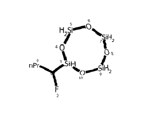 CCCC(F)[SiH]1O[SiH2]O[SiH2]O[SiH2]O1